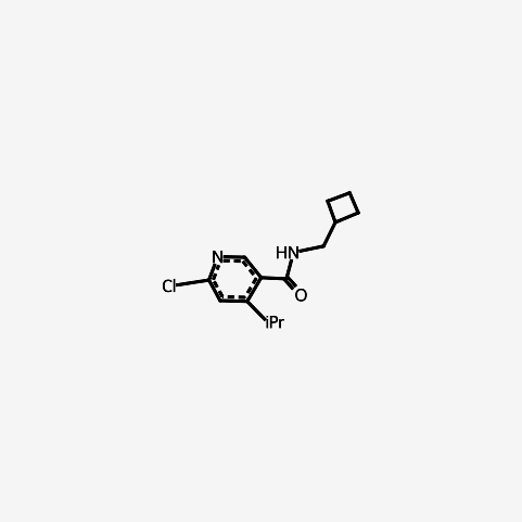 CC(C)c1cc(Cl)ncc1C(=O)NCC1CCC1